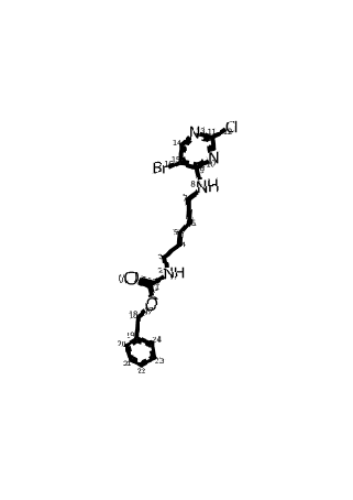 O=C(NCCCCCNc1nc(Cl)ncc1Br)OCc1ccccc1